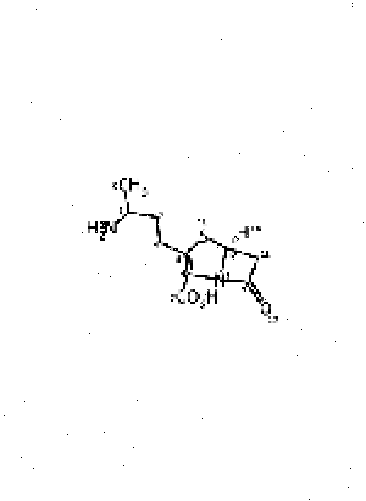 CC(N)CCC1=C(C(=O)O)N2C(=O)C[C@@H]2S1